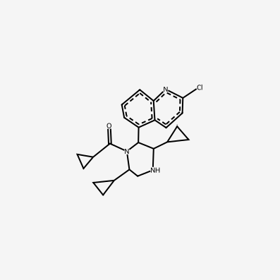 O=C(C1CC1)N1C(C2CC2)CNC(C2[CH]C2)C1c1cccc2nc(Cl)ccc12